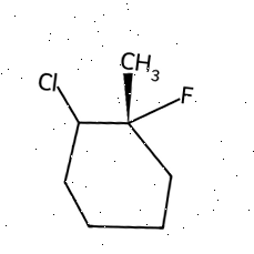 C[C@@]1(F)CCCCC1Cl